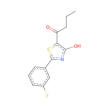 CCCC(=O)c1sc(-c2cccc(F)c2)nc1O